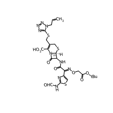 C=CCn1nnnc1SCC1=C(C(=O)O)N2C(=O)C(NC(=O)C(=NOCC(=O)OC(C)(C)C)c3csc(NC=O)n3)[C@@H]2SC1